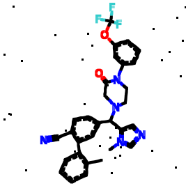 Cc1ccccc1-c1cc(C(c2cncn2C)N2CCN(c3cccc(OC(F)(F)F)c3)C(=O)C2)ccc1C#N